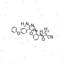 C=C(C#N)C(=O)Nc1cccc(Oc2ncnc(N)c2-c2ccc(Oc3ccccc3)cc2)c1F